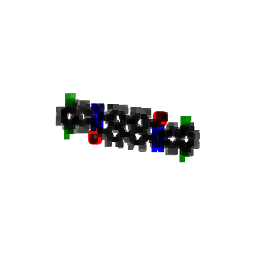 O=c1c2ccc3c4ccc5c6c(ccc(c7ccc(c2c37)c2nc3cc7c(F)ccc(F)c7cc3n12)c46)c(=O)n1c2cc3c(F)ccc(F)c3cc2nc51